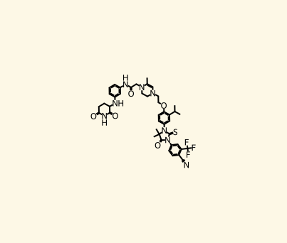 CC1=CN(CCOc2ccc(N3C(=S)N(c4ccc(C#N)c(C(F)(F)F)c4)C(=O)C3(C)C)cc2C(C)C)CCN1CC(=O)Nc1cccc(NC2CCC(=O)NC2=O)c1